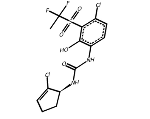 CC(F)(F)S(=O)(=O)c1c(Cl)ccc(NC(=O)N[C@H]2CCC=C2Cl)c1O